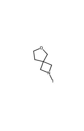 IN1CC2(CCOC2)C1